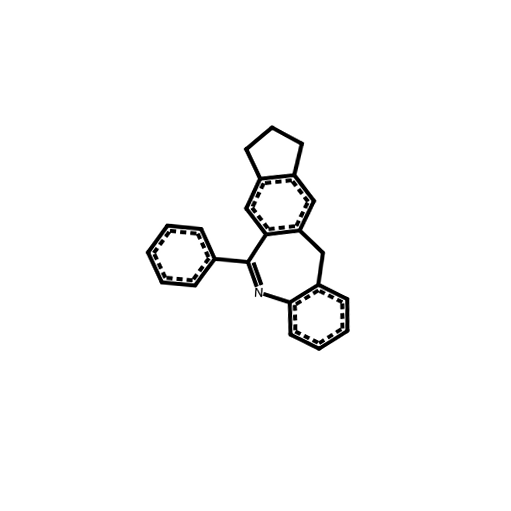 c1ccc(C2=Nc3ccccc3Cc3cc4c(cc32)CCC4)cc1